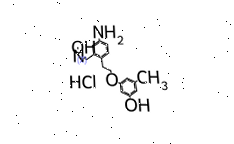 Cc1cc(O)cc(OCCc2ccc(N)cc2/C=N\O)c1.Cl